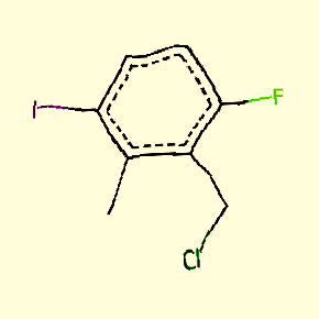 Cc1c(I)ccc(F)c1CCl